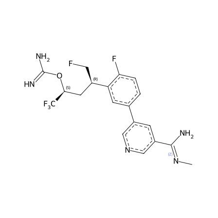 C/N=C(\N)c1cncc(-c2ccc(F)c([C@H](CF)C[C@H](OC(=N)N)C(F)(F)F)c2)c1